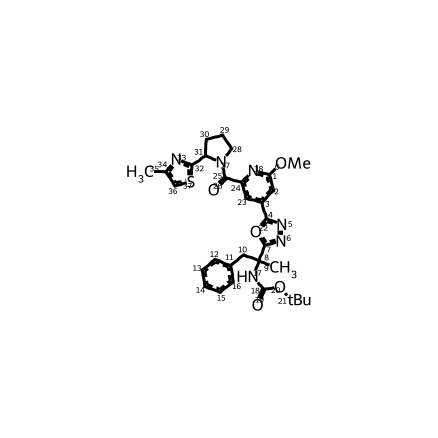 COc1cc(-c2nnc(C(C)(Cc3ccccc3)NC(=O)OC(C)(C)C)o2)cc(C(=O)N2CCCC2c2nc(C)cs2)n1